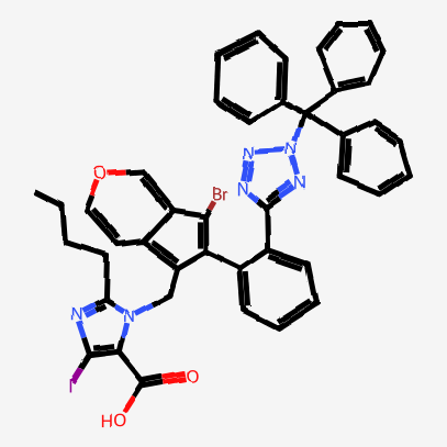 CCCCc1nc(I)c(C(=O)O)n1Cc1c2ccocc-2c(Br)c1-c1ccccc1-c1nnn(C(c2ccccc2)(c2ccccc2)c2ccccc2)n1